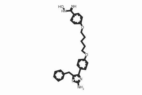 N=C(NO)c1ccc(OCCCCCOc2ccc(-c3nc(N)sc3Cc3ccccc3)cc2)cc1